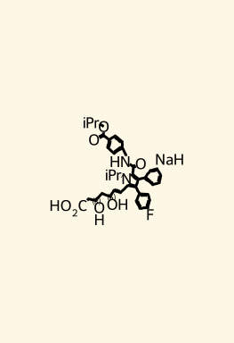 CC(C)OC(=O)c1ccc(CNC(=O)c2c(-c3ccccc3)c(-c3ccc(F)cc3)c(C=C[C@@H](O)C[C@@H](O)CC(=O)O)n2C(C)C)cc1.[NaH]